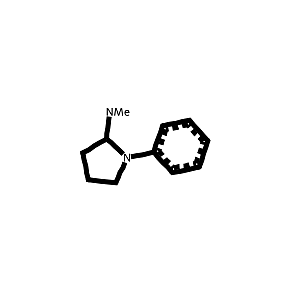 CNC1CCCN1c1ccccc1